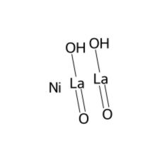 [Ni].[O]=[La][OH].[O]=[La][OH]